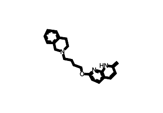 C=C1C=Cc2ccc(OCCCCN3CCc4ccccc4C3)nc2N1